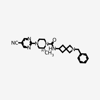 C[C@@H]1CN(c2ncc(C#N)cn2)CCN1C(=O)NC1CC2(C1)CN(Cc1ccccc1)C2